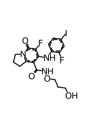 O=C(NOCCCO)c1c(Nc2ccc(I)cc2F)c(F)c(=O)n2c1CCC2